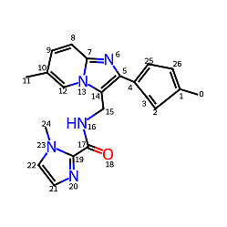 Cc1ccc(-c2nc3ccc(C)cn3c2CNC(=O)c2nccn2C)cc1